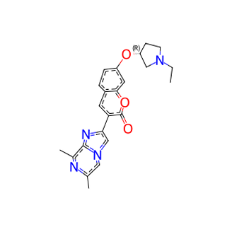 CCN1CC[C@@H](Oc2ccc3cc(-c4cn5cc(C)nc(C)c5n4)c(=O)oc3c2)C1